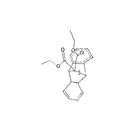 CCOC(=O)C1(C(=O)OCC)SC2c3ccccc3C1C1C=CC=CC21